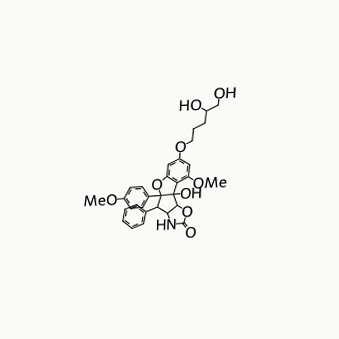 COc1ccc(C23Oc4cc(OCCCC(O)CO)cc(OC)c4C2(O)C2OC(=O)NC2C3c2ccccc2)cc1